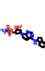 NS(=O)(=O)OC[C@H]1C[C@H](n2ccc3c(N[C@@H]4CCc5ccccc54)ncnc32)C[C@H]1O